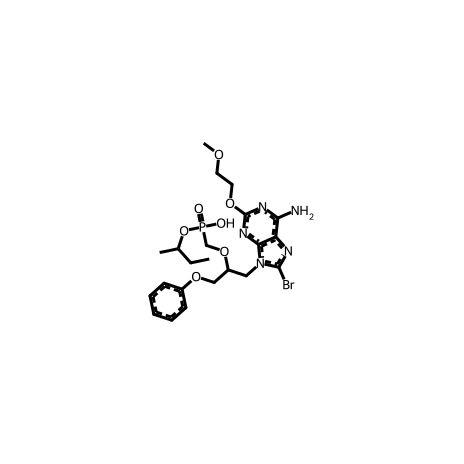 CCC(C)OP(=O)(O)COC(COc1ccccc1)Cn1c(Br)nc2c(N)nc(OCCOC)nc21